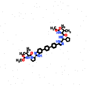 COC(=O)N[C@H](C(=O)N[C@H](c1ncc(-c2ccc(-c3ccc(-c4ccc5nc([C@@H]6CCCN6C(=O)[C@@H](NC(=O)OC)C(C)C)[nH]c5c4)cc3)cc2)[nH]1)C1CCCC1)C(C)C